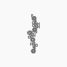 O=C(Cc1ccc(F)cc1)NC(=O)Nc1ccc(Oc2ccncc2NC(=O)[C@H]2CC[C@H](CNC(=O)OCc3ccccc3)CC2)c(F)c1